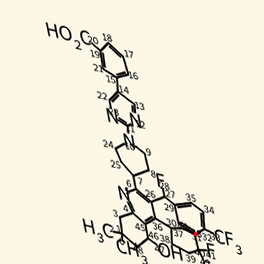 CC1(C)Cc2nc(C3CCN(c4ncc(-c5cccc(C(=O)O)c5)cn4)CC3)c(C(F)c3ccc(C(F)(F)F)cc3)c(C3CCC(F)(F)CC3)c2C(O)C1